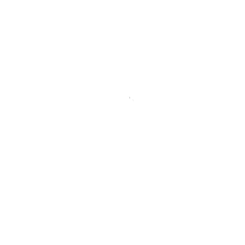 CC(C)CCCCCCN(CC(C)c1ccccc1)CC(C)c1ccccc1